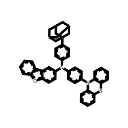 c1ccc2c(c1)Sc1ccccc1N2c1ccc(N(c2ccc(C34CC5CC(CC(C5)C3)C4)cc2)c2ccc3oc4ccccc4c3c2)cc1